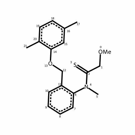 COCC(=S)N(C)c1ccccc1COc1cc(C)ccc1C